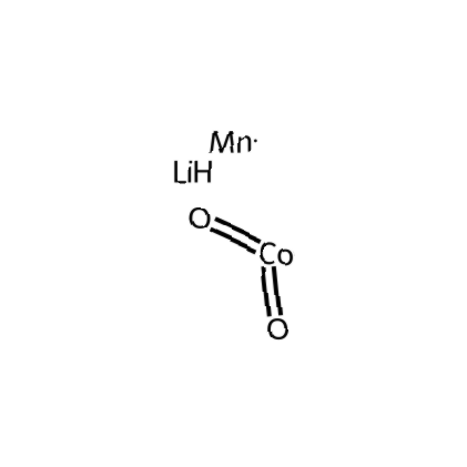 [LiH].[Mn].[O]=[Co]=[O]